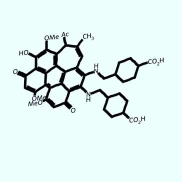 COc1c(O)c2c(=O)cc(OC)c3c4c(OC)cc(=O)c5c(NCC6CCC(C(=O)O)CC6)c(NCC6CCC(C(=O)O)CC6)c6c(c(c1C(C(C)=O)C(C)=C6)c23)c54